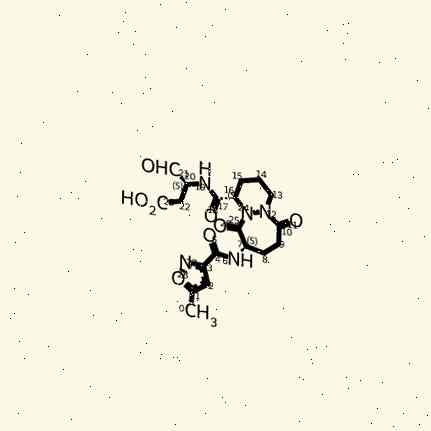 Cc1cc(C(=O)N[C@H]2CCC(=O)N3CCC[C@@H](C(=O)N[C@H](C=O)CC(=O)O)N3C2=O)no1